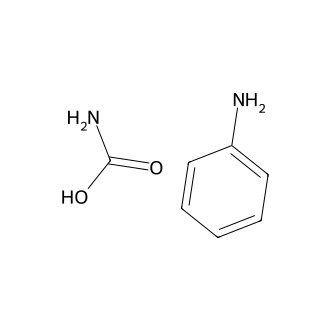 NC(=O)O.Nc1ccccc1